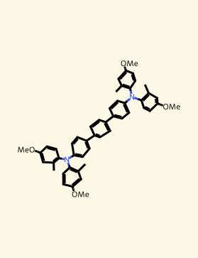 COc1ccc(N(c2ccc(-c3ccc(-c4ccc(N(c5ccc(OC)cc5C)c5ccc(OC)cc5C)cc4)cc3)cc2)c2ccc(OC)cc2C)c(C)c1